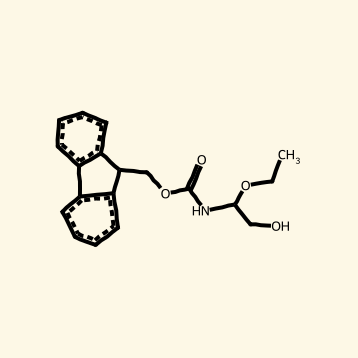 CCOC(CO)NC(=O)OCC1c2ccccc2-c2ccccc21